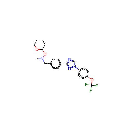 CN(Cc1ccc(-c2ncn(-c3ccc(OC(F)(F)F)cc3)n2)cc1)OC1CCCCO1